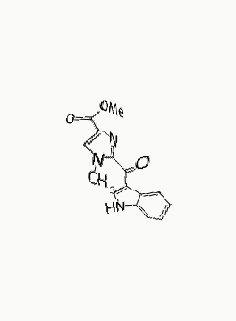 COC(=O)c1cn(C)c(C(=O)c2c[nH]c3ccccc23)n1